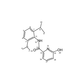 CC(C)c1cccc(C(C)C)c1NC(=O)c1cccc(O)n1